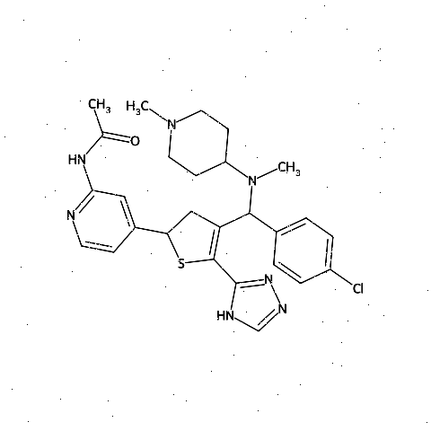 CC(=O)Nc1cc(C2CC(C(c3ccc(Cl)cc3)N(C)C3CCN(C)CC3)=C(c3nnc[nH]3)S2)ccn1